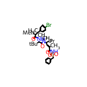 CNC(C(=O)NC(C(=O)N(C)C(/C=C(\C)C(=O)NS(=O)(=O)Cc1ccccc1)C(C)C)C(C)(C)C)C(C)(C)c1ccc(Br)cc1